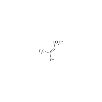 CCOC(=O)/C=C(/CC)C(F)(F)F